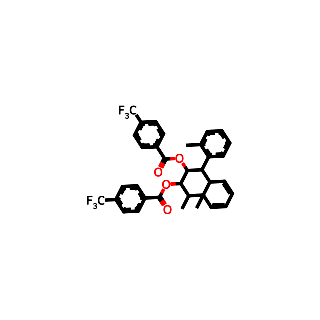 Cc1ccccc1C1C(OC(=O)c2ccc(C(F)(F)F)cc2)C(OC(=O)c2ccc(C(F)(F)F)cc2)C(C)C2(C)C=CC=CC12